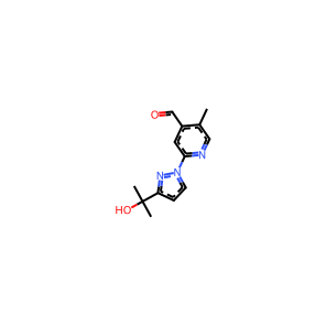 Cc1cnc(-n2ccc(C(C)(C)O)n2)cc1C=O